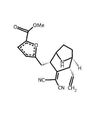 C=C[C@@H]1C(=C(C#N)C#N)[C@H](Cc2ccc(C(=O)OC)o2)C2CC[C@@H]1N2